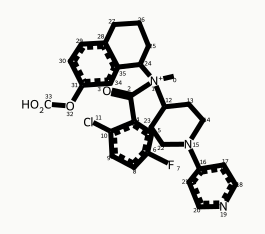 C[N+](C(=O)c1cc(F)ccc1Cl)(C1CCN(c2ccncc2)CC1)C1CCCc2ccc(OC(=O)O)cc21